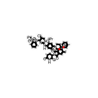 Cc1cc(Nc2ncc(Cl)c(Nc3ccccc3S(=O)(=O)C(C)C)n2)c(OC(C)C)cc1N1CCC(CN2C3CC2CN(c2cc4c(cc2F)C(=O)N(C2CCC(=O)NC2=O)C4=O)C3)CC1